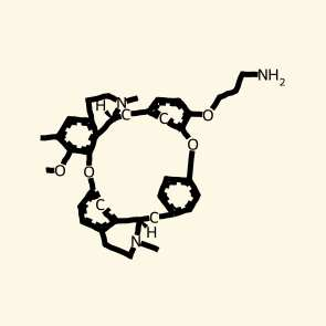 COc1c(C)cc2c3c1Oc1ccc4c(c1)[C@H](Cc1ccc(cc1)Oc1cc(ccc1OCCCN)C[C@H]3N(C)CC2)N(C)CC4